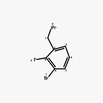 C[C](C)Cc1cccc(Br)c1F